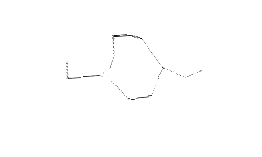 CCN1CC[C@@](C)(CO)[C@H](O)C1